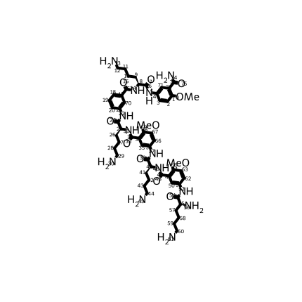 COc1ccc(NC(=O)[C@H](CCCCN)NC(=O)c2cccc(NC(=O)[C@H](CCCCN)NC(=O)c3cc(NC(=O)[C@H](CCCCN)NC(=O)c4cc(NC(=O)[C@@H](N)CCCCN)ccc4OC)ccc3OC)c2)cc1C(N)=O